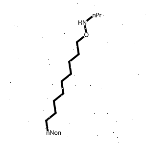 CCCCCCCCCCCCCCCCCCONCCC